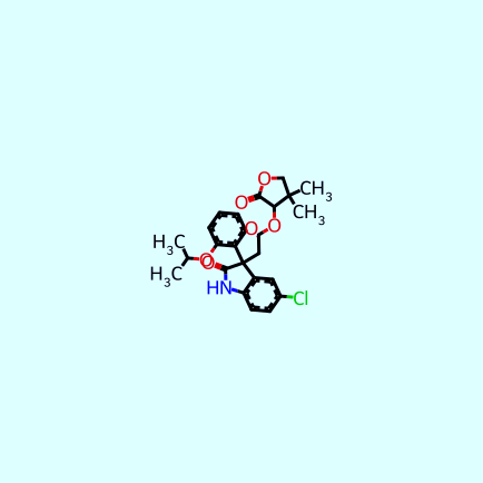 CC(C)Oc1ccccc1C1(CC(=O)OC2C(=O)OCC2(C)C)C(=O)Nc2ccc(Cl)cc21